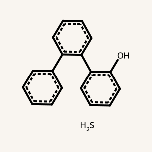 Oc1ccccc1-c1ccccc1-c1ccccc1.S